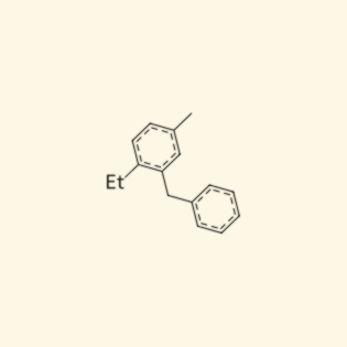 CCc1ccc(C)cc1Cc1ccccc1